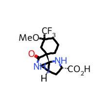 COC1(C(F)(F)F)CCCC(C(N)=O)([C@]23C[C@@H]2C[C@@H](C(=O)O)N3)C1